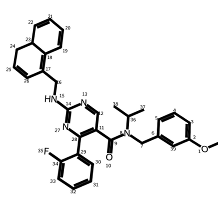 COc1cccc(CN(C(=O)c2cnc(NCC3=C4C=CC=CC4CC=C3)nc2-c2ccccc2F)C(C)C)c1